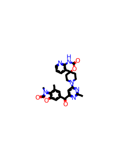 Cc1nc(C(=O)c2cc(C)c3c(c2)oc(=O)n3C)cc(N2CCC3(CC2)OC(=O)Nc2ncccc23)n1